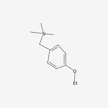 CCOc1ccc(C[Si](C)(C)C)cc1